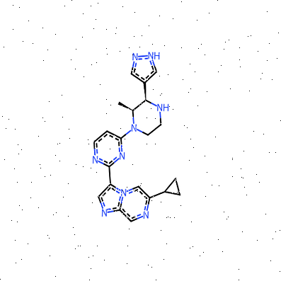 C[C@H]1[C@@H](c2cn[nH]c2)NCCN1c1ccnc(-c2cnc3cnc(C4CC4)cn23)n1